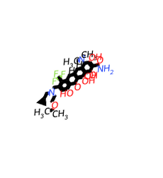 CC(C)OCCN(Cc1cc(O)c2c(c1C(F)(F)F)C[C@H]1C[C@H]3[C@H](N(C)C)C(O)=C(C(N)=O)C(=O)[C@@]3(O)C(O)=C1C2=O)CC1CC1